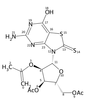 C=C(C)O[C@@H]1[C@H](OC(C)=O)[C@@H](COC(C)=O)O[C@H]1n1c(=S)sc2c(O)nc(N)nc21